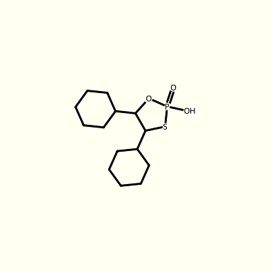 O=P1(O)OC(C2CCCCC2)C(C2CCCCC2)S1